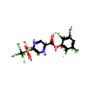 O=C(Oc1c(F)c(F)cc(F)c1F)c1cnc(S(=O)(=O)C(F)(F)F)cn1